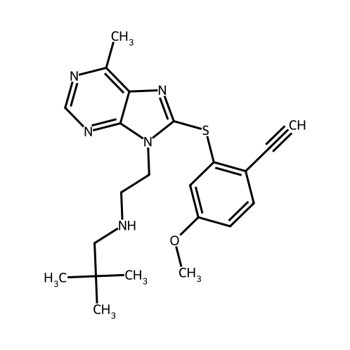 C#Cc1ccc(OC)cc1Sc1nc2c(C)ncnc2n1CCNCC(C)(C)C